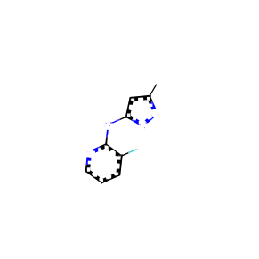 Cc1cc(Nc2ncccc2F)n[nH]1